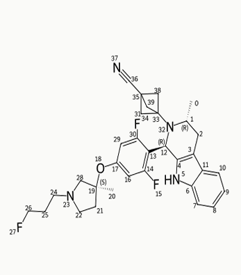 C[C@@H]1Cc2c([nH]c3ccccc23)[C@@H](c2c(F)cc(O[C@@]3(C)CCN(CCCF)C3)cc2F)N1C12CC(C#N)(C1)C2